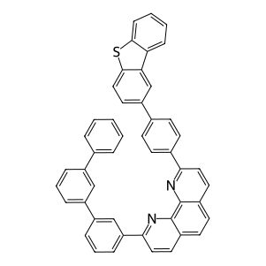 c1ccc(-c2cccc(-c3cccc(-c4ccc5ccc6ccc(-c7ccc(-c8ccc9sc%10ccccc%10c9c8)cc7)nc6c5n4)c3)c2)cc1